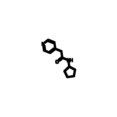 O=C(Cc1ccncc1)NC1CCCC1